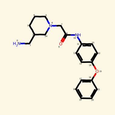 NCC1CCCN(CC(=O)Nc2ccc(Oc3ccccc3)cc2)C1